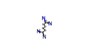 N#CC(C#N)CCCCC(C#N)C#N